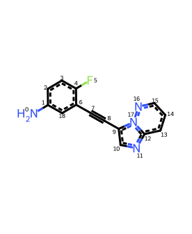 Nc1ccc(F)c(C#Cc2cnc3cccnn23)c1